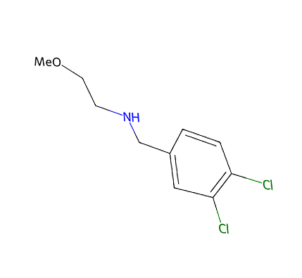 COCCNCc1ccc(Cl)c(Cl)c1